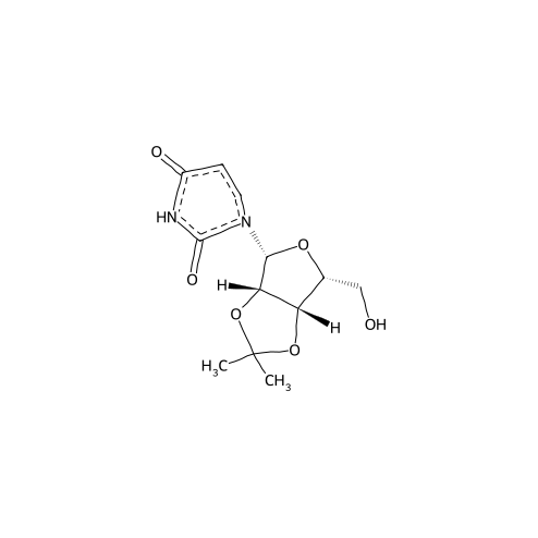 CC1(C)O[C@@H]2[C@H](O1)[C@H](n1ccc(=O)[nH]c1=O)O[C@@H]2CO